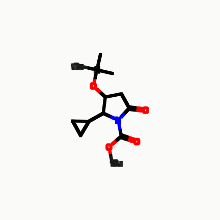 CC(C)(C)OC(=O)N1C(=O)CC(O[Si](C)(C)C(C)(C)C)C1C1CC1